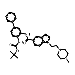 CN1CCN(CCn2ccc3cc(C(=O)Nc4cc(-c5ccccc5)ccc4NC(=O)OC(C)(C)C)ccc32)CC1